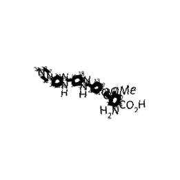 COc1cc(C(=O)O)c(N)cc1OOc1ccc(-c2nc3ccc(-c4nc5cc(N6CCN(C)CC6)ccc5[nH]4)cc3[nH]2)cc1